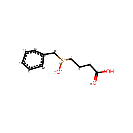 O=C(O)CCC[S+]([O-])Cc1ccccc1